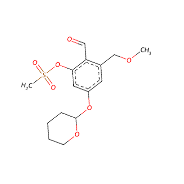 COCc1cc(OC2CCCCO2)cc(OS(C)(=O)=O)c1C=O